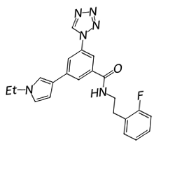 CCn1ccc(-c2cc(C(=O)NCCc3ccccc3F)cc(-n3cnnn3)c2)c1